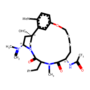 C=[N+](C)[C@@H]1C[C@]2(C=O)CN1C(=O)C(CC(C)C)N(C)C(=O)[C@@H](NC(=O)C(F)(F)F)CCCCOc1ccc(NC)c2c1